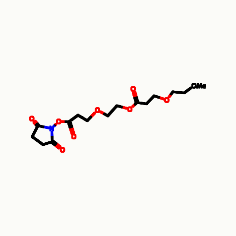 COCCOCCC(=O)OCCOCCC(=O)ON1C(=O)CCC1=O